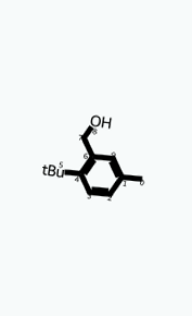 Cc1ccc(C(C)(C)C)c([CH]O)c1